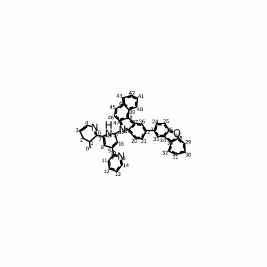 CC1CC=CN=C1C1=CC(c2ccccn2)=CC(n2c3ccc(-c4ccc5oc6ccccc6c5c4)cc3c3c4ccccc4ccc32)N1